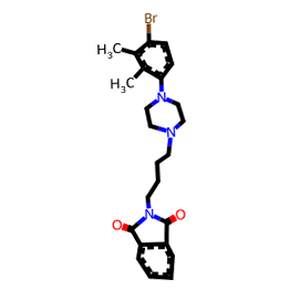 Cc1c(Br)ccc(N2CCN(CCCCN3C(=O)c4ccccc4C3=O)CC2)c1C